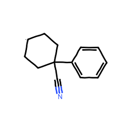 N#CC1(c2ccccc2)CC[CH]CC1